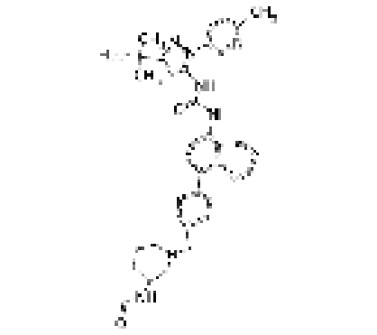 Cc1ccc(-n2nc(C(C)(C)C)cc2NC(=O)Nc2ccc(-c3ccc(CN4CCCC(NC=O)C4)cc3)c3ccccc23)cn1